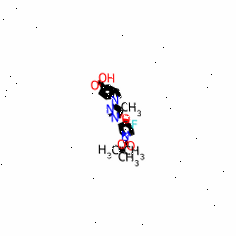 Cc1c(OC2CCN(C(=O)OC(C)(C)C)CC2F)ncnc1N1CCc2cc(C(=O)O)ccc21